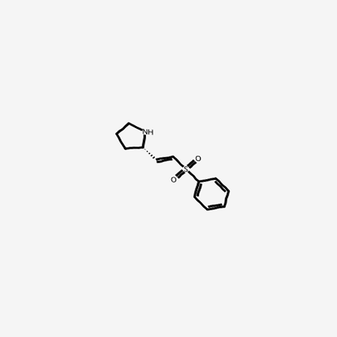 O=S(=O)(/C=C/[C@@H]1CCCN1)c1ccccc1